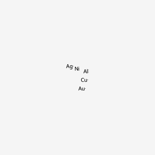 [Ag].[Al].[Au].[Cu].[Ni]